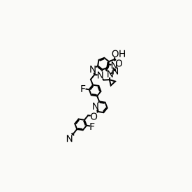 N#Cc1ccc(COc2cccc(-c3ccc(Cc4nc5ccc(C(=O)O)cc5n4CC4(n5ccnn5)CC4)c(F)c3)n2)c(F)c1